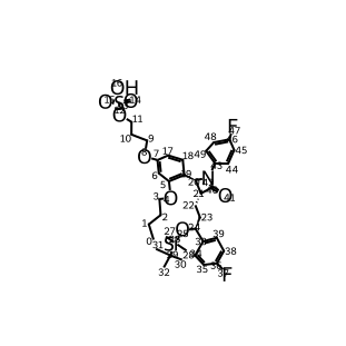 CCCCOc1cc(OCCCOS(=O)(=O)O)ccc1[C@@H]1[C@@H](CC[C@H](O[Si](C)(C)C(C)(C)C)c2ccc(F)cc2)C(=O)N1c1ccc(F)cc1